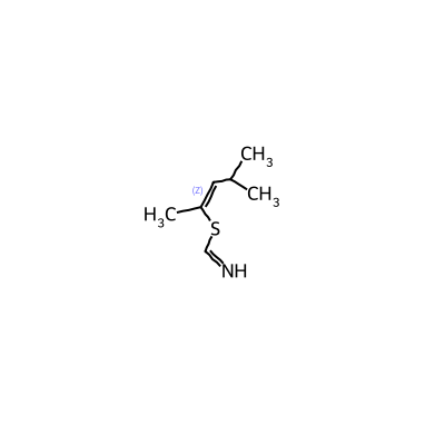 C/C(=C/C(C)C)SC=N